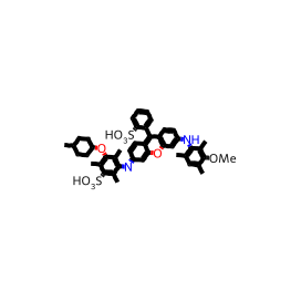 COc1c(C)cc(C)c(Nc2ccc3c(-c4ccccc4S(=O)(=O)O)c4cc/c(=N\c5c(C)c(OC6CCC(C)CC6)c(C)c(S(=O)(=O)O)c5C)cc-4oc3c2)c1C